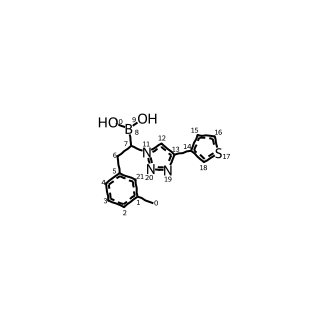 Cc1cccc(CC(B(O)O)n2cc(-c3ccsc3)nn2)c1